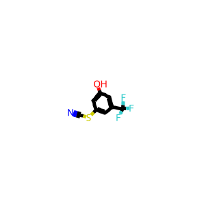 N#CSc1cc(O)cc(C(F)(F)F)c1